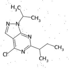 CCC(C)c1nc(Cl)c2cnn(C(C)C)c2n1